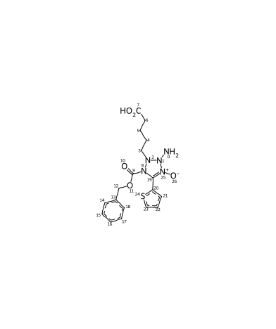 NN1N(CCCCC(=O)O)N(C(=O)OCc2ccccc2)C(c2cccs2)=[N+]1[O-]